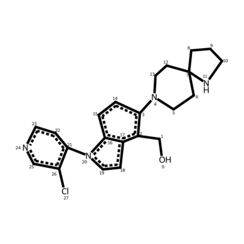 OCc1c(N2CCC3(CCCN3)CC2)ccc2c1ccn2-c1ccncc1Cl